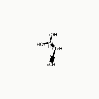 C#C[TeH]=[PH](O)O